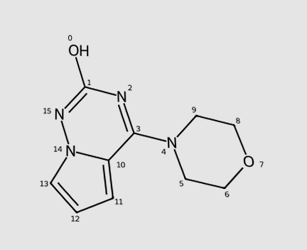 Oc1nc(N2CCOCC2)c2cccn2n1